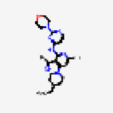 COCC1CCN(c2cc(C(=O)O)nc(Nc3ccnc(N4CCOCC4)n3)c2C(=N)C(C)C)CC1